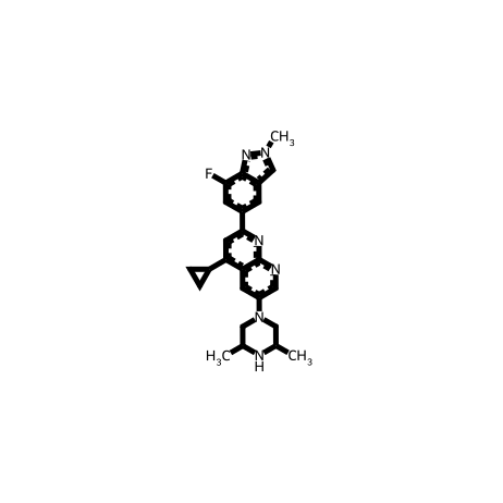 CC1CN(c2cnc3nc(-c4cc(F)c5nn(C)cc5c4)cc(C4CC4)c3c2)CC(C)N1